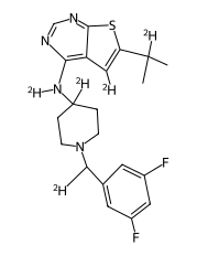 [2H]c1c(C([2H])(C)C)sc2ncnc(N([2H])C3([2H])CCN(C([2H])c4cc(F)cc(F)c4)CC3)c12